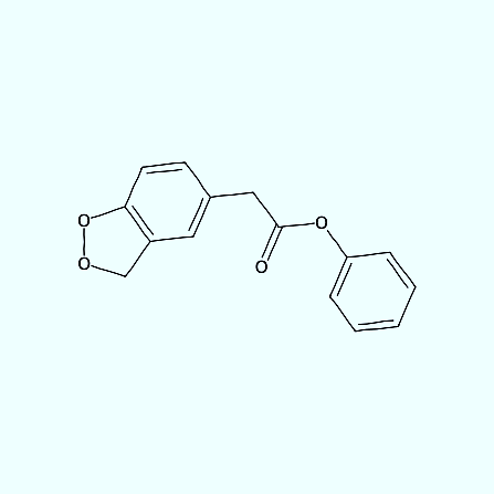 O=C(Cc1ccc2c(c1)COO2)Oc1ccccc1